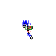 CCOC[C@H](Cc1ccc(OCc2cn(Cc3ccccc3)nn2)cc1)n1cnc2c(N)nc3ccccc3c21.Cl